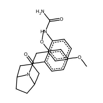 COc1ccc(C(=O)N2C3CCC2CC(Cc2ccccc2NC(N)=O)C3)c(OC)c1